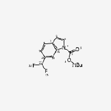 CC(C)(C)OC(=O)n1ccc2ccc(C(F)F)cc21